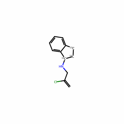 C=C(Cl)CN[13CH]1[13CH2][13CH2]c2ccccc21